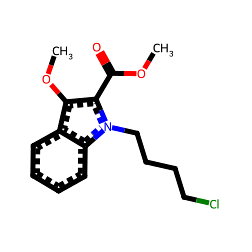 COC(=O)c1c(OC)c2ccccc2n1CCCCCl